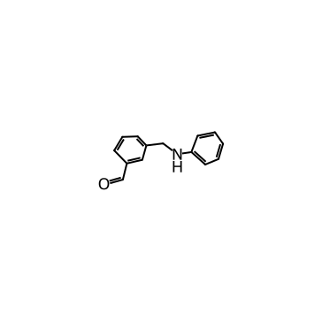 O=Cc1cccc(CNc2ccccc2)c1